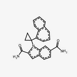 NC(=O)c1ccc2cc(C(N)=O)n(C3(c4cccc5ccccc45)CC3)c2c1